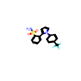 NS(=O)(=O)c1ccccc1-c1cccn1-c1ccc(C(F)(F)F)cc1